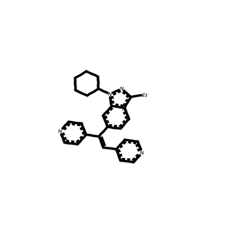 CCc1nn(C2CCCCC2)c2cc(/C(=C\c3ccncc3)c3ccncc3)ccc12